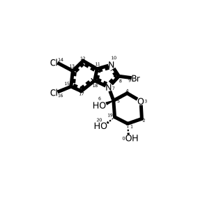 O[C@H]1COC[C@@](O)(n2c(Br)nc3cc(Cl)c(Cl)cc32)[C@H]1O